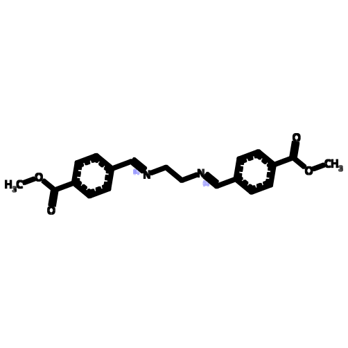 COC(=O)c1ccc(/C=N/CC/N=C/c2ccc(C(=O)OC)cc2)cc1